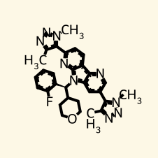 Cc1nnn(C)c1-c1cnc2c3ccc(-c4c(C)nnn4C)nc3n([C@H](c3ccccc3F)C3CCOCC3)c2c1